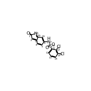 O=C1C=c2ccc(NS(=O)(=O)c3cccc(Cl)c3Cl)cc2=N1